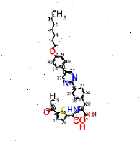 CCCCCCCOc1ccc(-c2cnc(-c3ccc(C[C@H](NC(=O)c4ccc(C(C)=O)s4)C(=O)O)cc3)nc2)cc1